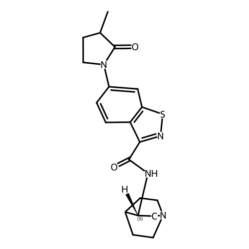 CC1CCN(c2ccc3c(C(=O)N[C@@H]4CN5CCC4CC5)nsc3c2)C1=O